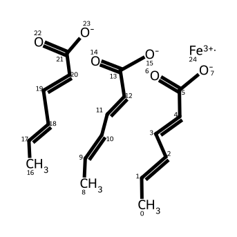 C/C=C/C=C/C(=O)[O-].C/C=C/C=C/C(=O)[O-].C/C=C/C=C/C(=O)[O-].[Fe+3]